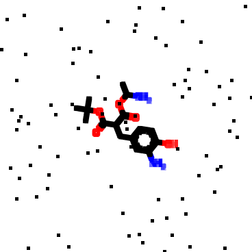 CC(N)OC(=O)C(Cc1ccc(O)c(N)c1)C(=O)OC(C)(C)C